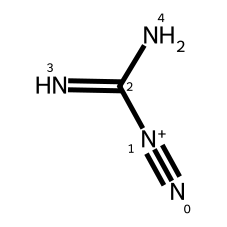 N#[N+]C(=N)N